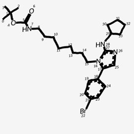 CC(C)(C)OC(=O)NCCCCCCCCn1c(-c2ccc(Br)cc2)cnc1NC1CCCC1